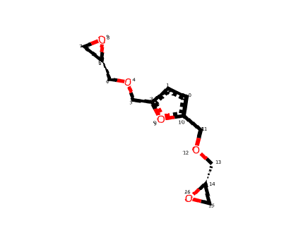 c1cc(COC[C@H]2CO2)oc1COC[C@@H]1CO1